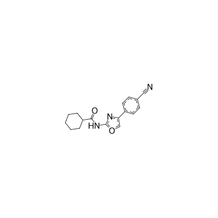 N#Cc1ccc(-c2coc(NC(=O)C3CCCCC3)n2)cc1